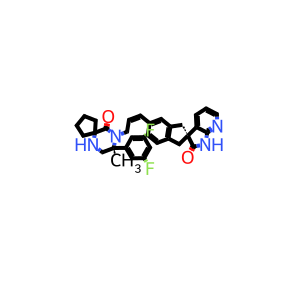 C[C@]1(c2cc(F)cc(F)c2)CNC2(CCCC2)C(=O)N1C/C=C\c1ccc2c(c1)C[C@@]1(C2)C(=O)Nc2ncccc21